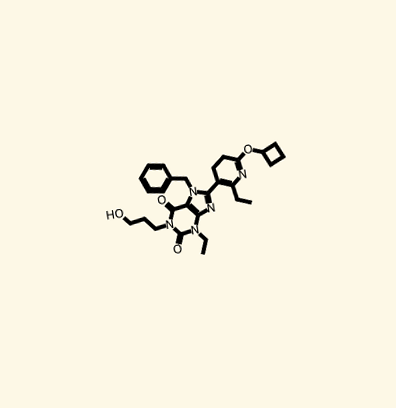 CCC1=C(c2nc3c(c(=O)n(CCCO)c(=O)n3CC)n2CC2=C=C=CC=C2)CCC(OC2CCC2)=N1